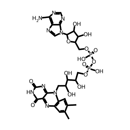 Cc1cc2nc3c(=O)[nH]c(=O)nc-3n(CC(O)C(O)C(O)COP(=O)(O)OP(=O)(O)OCC3OC(n4cnc5c(N)ncnc54)C(O)C3O)c2cc1C